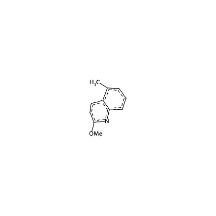 COc1ccc2c(C)cccc2n1